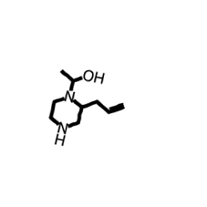 C=CCC1CNCCN1C(C)O